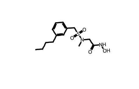 CCCCc1cccc(CS(=O)(=O)N(C)CC(=O)NO)c1